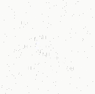 CC(=N/Nc1ccc2c(c1)C(C)CC2)/C(C=O)=N/Nc1cc(C)cc(-c2cccc(C(=O)O)c2)c1O